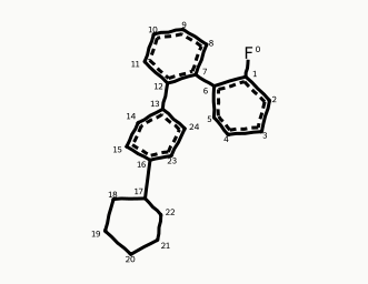 Fc1ccccc1-c1ccccc1-c1ccc(C2CCCCC2)cc1